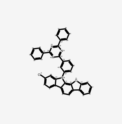 Clc1ccc2c3ccc4c5ccccc5oc4c3n(-c3cccc(-c4nc(-c5ccccc5)nc(-c5ccccc5)n4)c3)c2c1